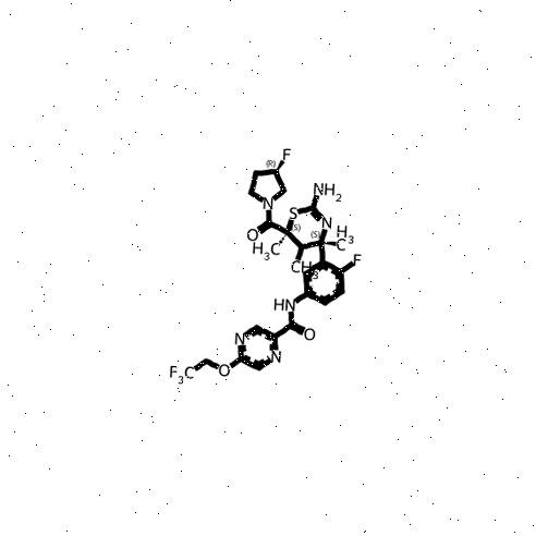 CC1[C@@](C)(C(=O)N2CC[C@@H](F)C2)SC(N)=N[C@]1(C)c1cc(NC(=O)c2cnc(OCC(F)(F)F)cn2)ccc1F